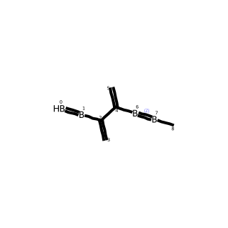 B=BC(=C)C(=C)/B=B\C